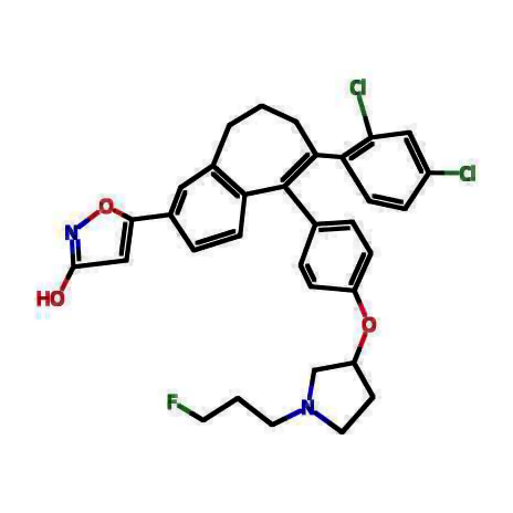 Oc1cc(-c2ccc3c(c2)CCCC(c2ccc(Cl)cc2Cl)=C3c2ccc(OC3CCN(CCCF)C3)cc2)on1